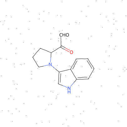 O=CC(=O)C1CCCN1c1c[nH]c2ccccc12